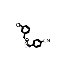 N#Cc1ccc(/[C]=N\OCc2cccc(Cl)c2)cc1